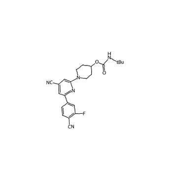 CC(C)(C)NC(=O)OC1CCN(c2cc(C#N)cc(-c3ccc(C#N)c(F)c3)n2)CC1